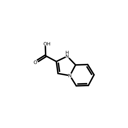 O=C(O)C1=CN2C=CC=CC2N1